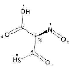 O=N[C@H](C(=O)O)C(=O)S